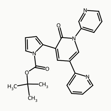 CC(C)(C)OC(=O)n1cccc1-c1cc(-c2ccccn2)cn(-c2cccnc2)c1=O